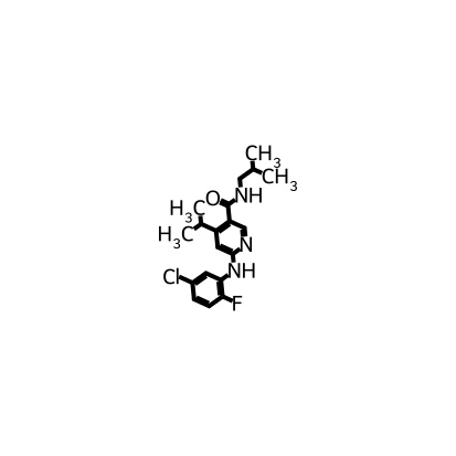 CC(C)CNC(=O)c1cnc(Nc2cc(Cl)ccc2F)cc1C(C)C